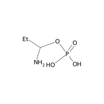 CCC(N)OP(=O)(O)O